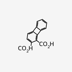 O=C(O)c1ccc2c(c1C(=O)O)-c1ccccc1-2